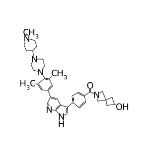 Cc1cc(-c2cnc3[nH]cc(-c4ccc(C(=O)N5CC6(CC(O)C6)C5)cc4)c3c2)cc(C)c1N1CCN(C2CCN(C)CC2)CC1